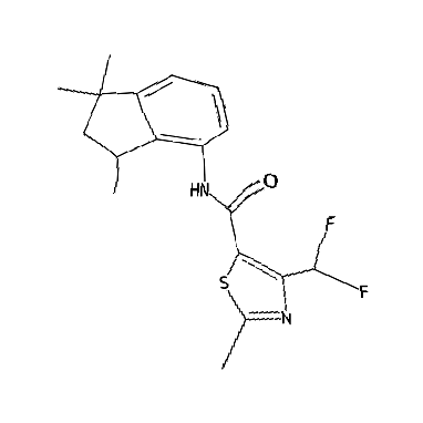 Cc1nc(C(F)F)c(C(=O)Nc2cccc3c2C(C)CC3(C)C)s1